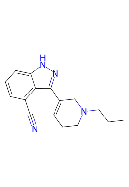 CCCN1CCC=C(c2n[nH]c3cccc(C#N)c23)C1